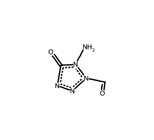 Nn1c(=O)nnn1C=O